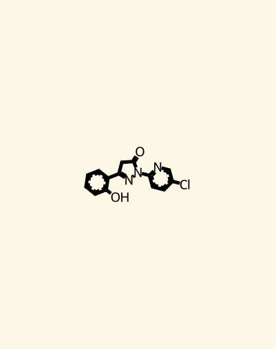 O=C1CC(c2ccccc2O)=NN1c1ccc(Cl)cn1